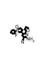 N#Cc1cc(-c2ccc(=O)n(-c3ccccc3F)c2)c(-c2ccco2)nc1N